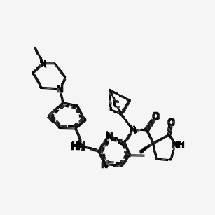 Cc1cnc(Nc2ccc(N3CCN(C)CC3)cc2)nc1N(C(=O)[C@@]1(C)CCNC1=O)C12CC(C1)C2